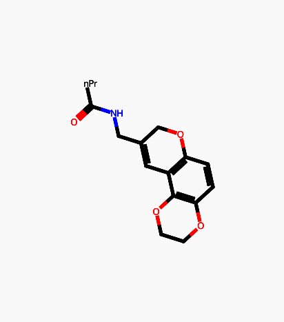 CCCC(=O)NCC1=Cc2c(ccc3c2OCCO3)OC1